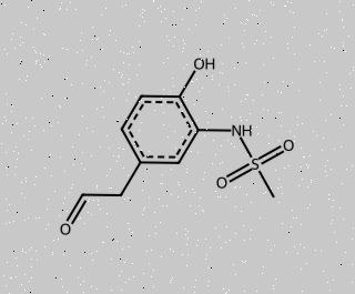 CS(=O)(=O)Nc1cc(CC=O)ccc1O